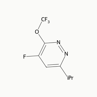 CC(C)c1cc(F)c(OC(F)(F)F)nn1